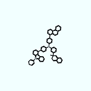 CC1(c2cccc(N(c3ccc(-c4cccc5c4ccc4ccccc45)cc3)c3ccc(-c4cccc5c4c4ccccc4n5C4=CCCC=C4)cc3)c2)C=c2ccccc2=CC1